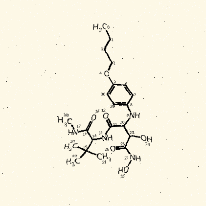 CCCCOc1ccc(NC(C(=O)NC(C(=O)NC)C(C)(C)C)C(O)C(=O)NO)cc1